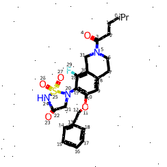 CC(C)CCC(=O)N1CCc2cc(OCc3ccccc3)c(N3CC(=O)NS3(=O)=O)c(F)c2C1